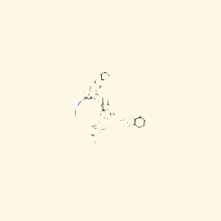 CC(C)(C)OC(=O)N[C@H]1CCCCC/C=C\[C@@H]2C[C@@]2(C(=O)NS(=O)(=O)c2cccs2)NC(=O)[C@@H]2C[C@@H](OC(=O)N3Cc4cccc(Cl)c4C3)CN2C1=O